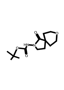 CC(C)(C)OC(=O)NN1CCC2(CCOCC2)C1=O